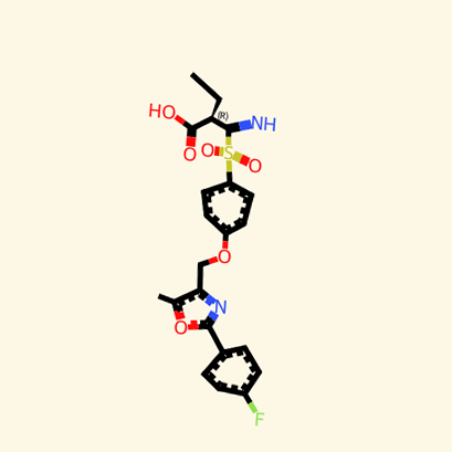 CC[C@@H](C(=N)S(=O)(=O)c1ccc(OCc2nc(-c3ccc(F)cc3)oc2C)cc1)C(=O)O